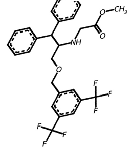 COC(=O)CNC(COCc1cc(C(F)(F)F)cc(C(F)(F)F)c1)C(c1ccccc1)c1ccccc1